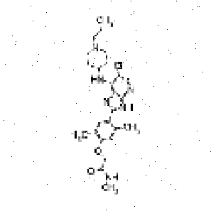 CCCN1CCC(Nc2c(Cl)cnc3[nH]c(-c4cc(C)c(OCC(=O)NC)cc4C)nc23)CC1